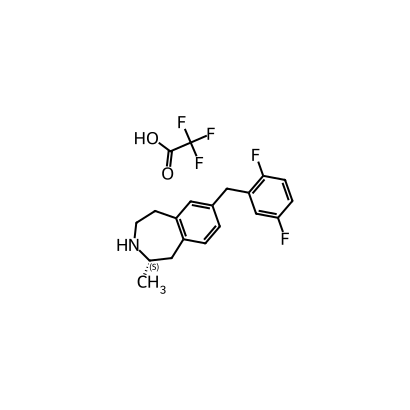 C[C@H]1Cc2ccc(Cc3cc(F)ccc3F)cc2CCN1.O=C(O)C(F)(F)F